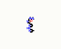 Cc1ccnc(Nc2cccc(-c3cnc(CN(C)C(=O)N(C)C)s3)n2)c1